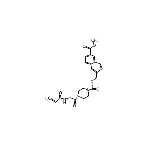 C=CC(=O)NCC(=O)N1CCN(C(=O)OCc2ccc3cc(C(=O)OC)ccc3c2)CC1